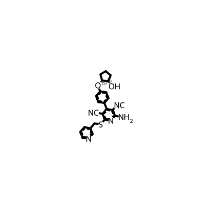 [C-]#[N+]c1c(N)nc(SCc2cccnc2)c(C#N)c1-c1ccc(O[C@H]2CCC[C@H]2O)cc1